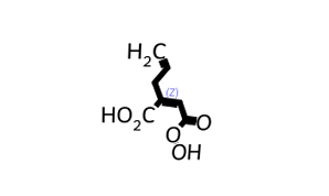 C=CC/C(=C/C(=O)OO)C(=O)O